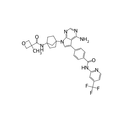 CC1(C(=O)NC23CCC(n4cc(-c5ccc(C(=O)Nc6cc(C(F)(F)F)ccn6)cc5)c5c(N)ncnc54)(CC2)C3)COC1